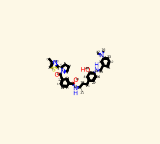 Cc1csc([C@H]2CCCN2C(=O)c2cccc(C(=O)N[C@@H](C)CCc3ccc(NCc4cccc(N(C)C)c4)c(O)c3)c2)n1